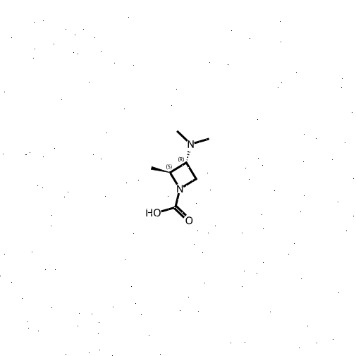 C[C@H]1[C@H](N(C)C)CN1C(=O)O